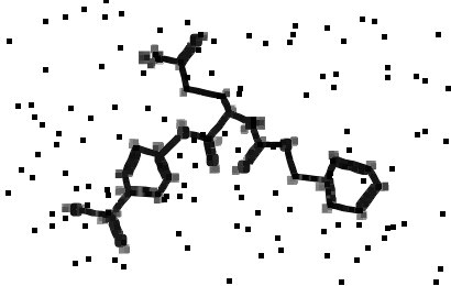 NC(=O)CCC(NC(=O)OCc1ccccc1)C(=O)Oc1ccc([N+](=O)[O-])cc1